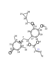 C/C=C/C(=O)OC(Cn1c(C)cc(=O)cc1C)c1ccc(OC)c(OCC2CC2)c1